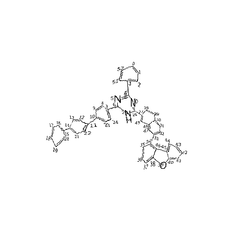 c1ccc(C2=NC(c3ccc(-c4ccc(-c5ccccc5)cc4)cc3)NC(c3ccc4ccc(-c5cccc6oc7ccccc7c56)cc4c3)=N2)cc1